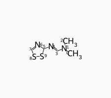 CN(C)C=NC1N=CSS1